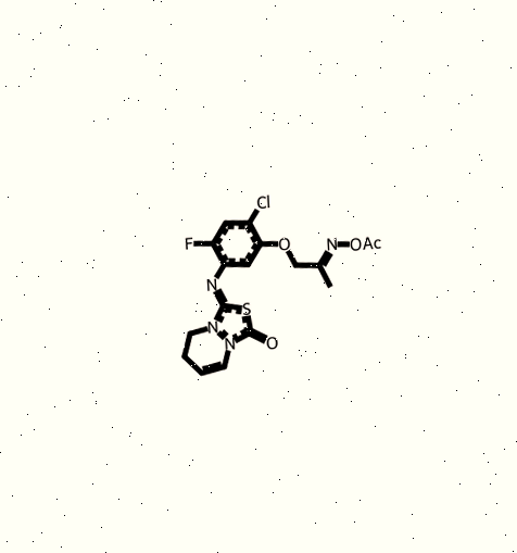 CC(=O)ON=C(C)COc1cc(N=c2sc(=O)n3n2CCC=C3)c(F)cc1Cl